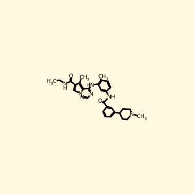 CCNC(=O)c1cn2ncnc(Nc3cc(NC(=O)c4cccc(C5CCN(C)CC5)c4)ccc3C)c2c1C